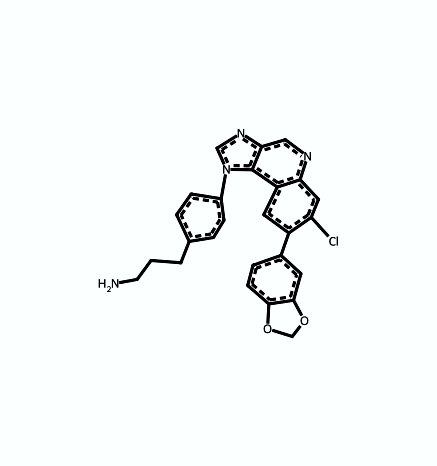 NCCCc1ccc(-n2cnc3cnc4cc(Cl)c(-c5ccc6c(c5)OCO6)cc4c32)cc1